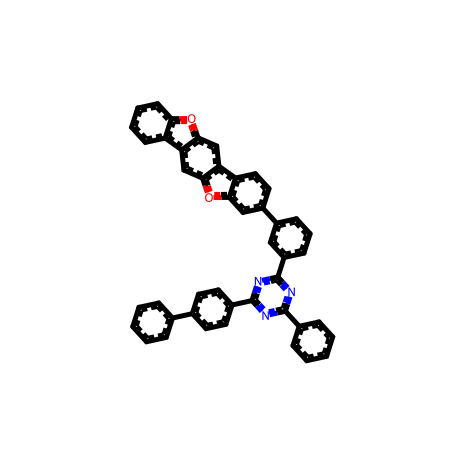 c1ccc(-c2ccc(-c3nc(-c4ccccc4)nc(-c4cccc(-c5ccc6c(c5)oc5cc7c(cc56)oc5ccccc57)c4)n3)cc2)cc1